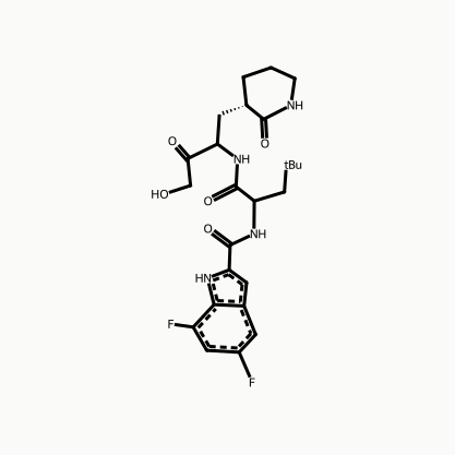 CC(C)(C)CC(NC(=O)c1cc2cc(F)cc(F)c2[nH]1)C(=O)NC(C[C@@H]1CCCNC1=O)C(=O)CO